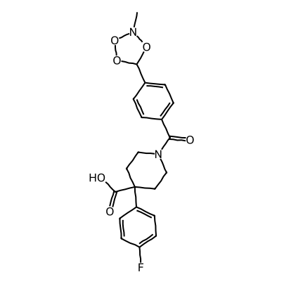 CN1OOC(c2ccc(C(=O)N3CCC(C(=O)O)(c4ccc(F)cc4)CC3)cc2)O1